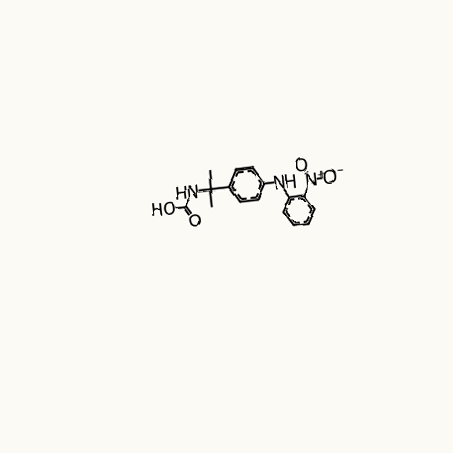 CC(C)(NC(=O)O)c1ccc(Nc2ccccc2[N+](=O)[O-])cc1